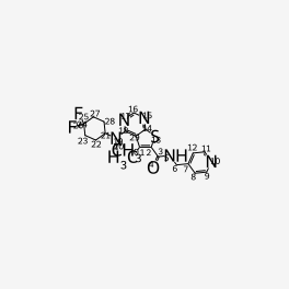 Cc1c(C(=O)NCc2ccncc2)sc2ncnc(N(C)C3CCC(F)(F)CC3)c12